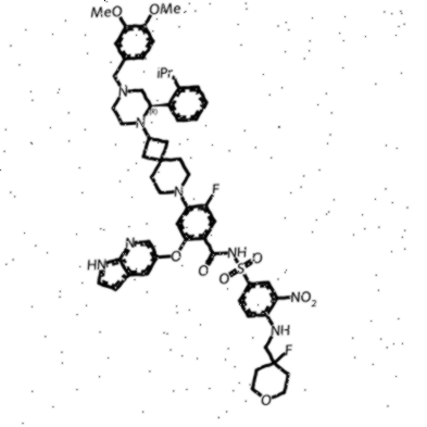 COc1ccc(CN2CCN(C3CC4(CCN(c5cc(Oc6cnc7[nH]ccc7c6)c(C(=O)NS(=O)(=O)c6ccc(NCC7(F)CCOCC7)c([N+](=O)[O-])c6)cc5F)CC4)C3)[C@H](c3ccccc3C(C)C)C2)cc1OC